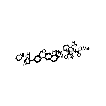 COC(=O)N[C@H](C(=O)N1[C@@H](C)CC[C@H]1c1nc2ccc3cc4c(cc3c2[nH]1)OCc1cc(-c2cnc([C@@H]3CCCN3)[nH]2)ccc1-4)C(C)C